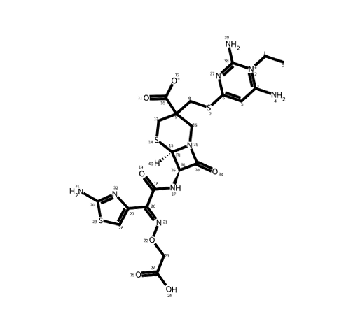 CC[n+]1c(N)cc(SCC2(C(=O)[O-])CS[C@@H]3[C@H](NC(=O)C(=NOCC(=O)O)c4csc(N)n4)C(=O)N3C2)nc1N